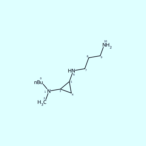 CCCCN(C)C1CC1NCCCN